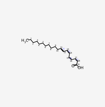 CCCCCCCCCCC/C=C/C=C\C=C/C=C\C(=O)O